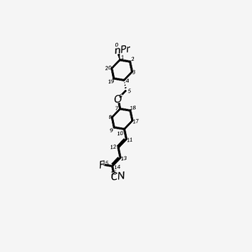 CCC[C@H]1CC[C@H](COC2CCC(C=CC=C(F)C#N)CC2)CC1